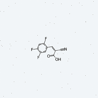 N#CC(=Cc1cc(F)c(F)cc1F)C(=O)O